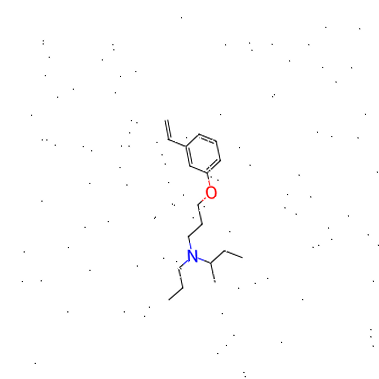 C=Cc1cccc(OCCCN(CCC)C(C)CC)c1